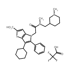 CN1CCCC(CN(C)C(=O)Cn2c(-c3ccccc3)c(C3CCCCC3)c3sc(C(=O)O)cc32)C1.O=C(O)C(F)(F)F